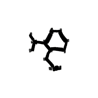 CN(C)c1ncccc1CC(C)(C)C